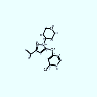 CC(C)c1cc(Oc2ccnc(Cl)c2)n(C2CCOCC2)n1